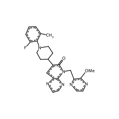 COc1nccnc1Cn1c(=O)c(C2CCN(c3c(C)cccc3F)CC2)cc2nccnc21